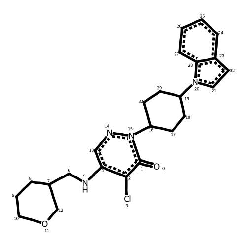 O=c1c(Cl)c(NCC2CCCOC2)cnn1C1CCC(n2ccc3ccccc32)CC1